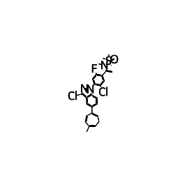 C=C(c1cc(Cl)c(-n2nc(Cl)c3cc(C4=CCC=C(C)C=C4)ccc32)cc1F)N(C)S(C)(C)(C)=O